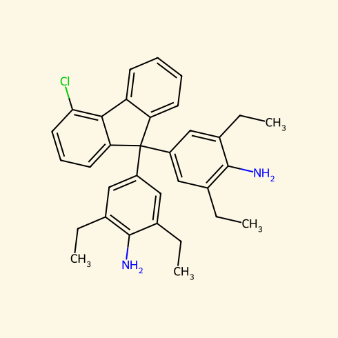 CCc1cc(C2(c3cc(CC)c(N)c(CC)c3)c3ccccc3-c3c(Cl)cccc32)cc(CC)c1N